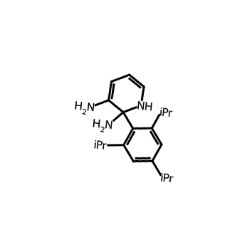 CC(C)c1cc(C(C)C)c(C2(N)NC=CC=C2N)c(C(C)C)c1